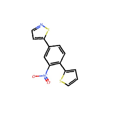 O=[N+]([O-])c1cc(-c2ccns2)ccc1-c1cccs1